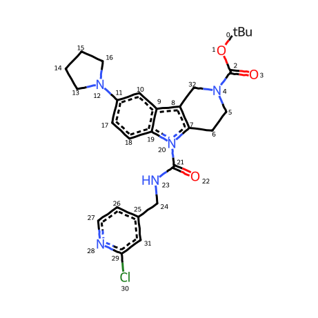 CC(C)(C)OC(=O)N1CCc2c(c3cc(N4CCCC4)ccc3n2C(=O)NCc2ccnc(Cl)c2)C1